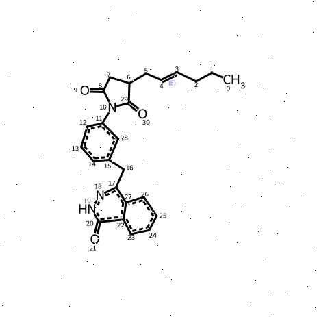 CCC/C=C/CC1CC(=O)N(c2cccc(Cc3n[nH]c(=O)c4ccccc34)c2)C1=O